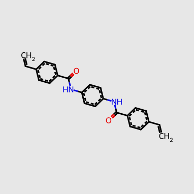 C=Cc1ccc(C(=O)Nc2ccc(NC(=O)c3ccc(C=C)cc3)cc2)cc1